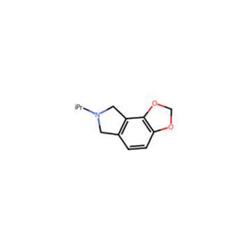 CC(C)N1Cc2ccc3c(c2C1)OCO3